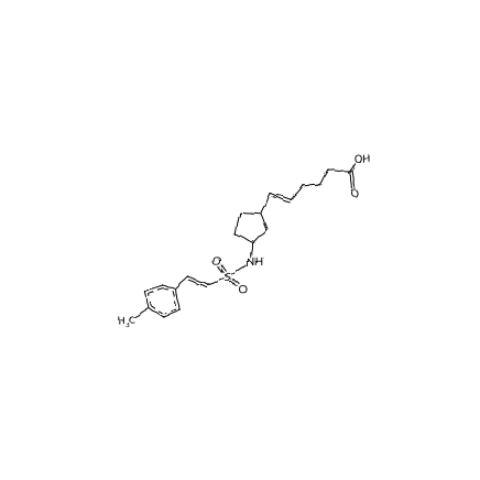 Cc1ccc(C=CS(=O)(=O)NC2CCC(C=CCCCC(=O)O)C2)cc1